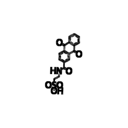 O=C(NCCS(=O)(=O)O)c1ccc2c(c1)C(=O)c1ccccc1C2=O